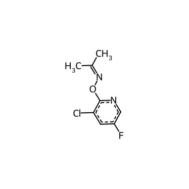 CC(C)=NOc1ncc(F)cc1Cl